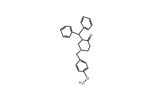 COc1ccc(CN2CCC(=O)C(C(c3ccccc3)c3ccccc3)C2)cc1